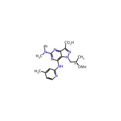 CO[C@H](C)Cn1nc(C(=O)O)c2nc(N(C)C(C)C)nc(Nc3cc(C)ccn3)c21